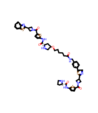 O=C(CCCCCO[C@H]1CN[C@H](C(=O)Nc2ccc(C(=O)N3CC(c4nc5ccccc5s4)C3)s2)C1)NCc1ccc(-c2cnc(C3CN(C(=O)c4ccc(NC(=O)[C@@H]5CCCN5)s4)C3)s2)cc1